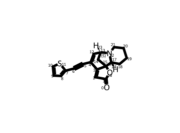 O=C1C=C2C(C#Cc3cccs3)=C[C@@H]3CC2(O1)[C@H]1CCCCN31